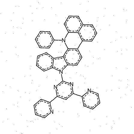 c1ccc(N2c3cccc4cccc(c34)-c3ccc4c(c32)c2ccccc2n4-c2nc(-c3ccccn3)cc(-c3ccccn3)n2)cc1